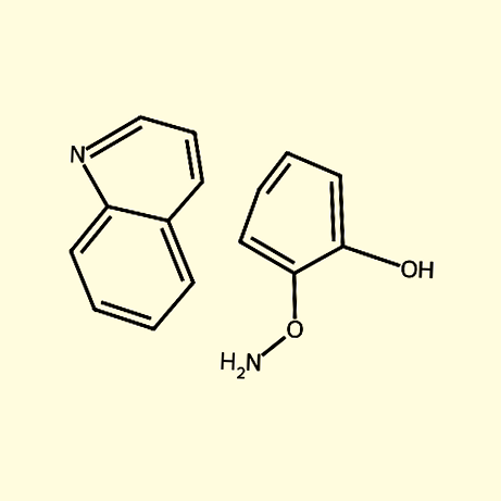 NOc1ccccc1O.c1ccc2ncccc2c1